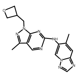 Cc1cc2ncnn2cc1Nc1ncc2c(C)nn(CC3COC3)c2n1